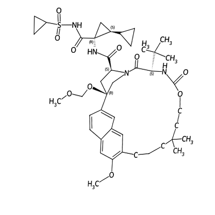 COCO[C@@]12C[C@@H](C(=O)N[C@]3(C(=O)NS(=O)(=O)C4CC4)C[C@H]3C3CC3)N(C1)C(=O)[C@H](C(C)(C)C)NC(=O)OCCC(C)(C)CCCc1cc3cc2ccc3cc1OC